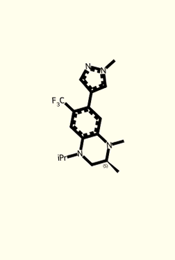 CC(C)N1C[C@H](C)N(C)c2cc(-c3cnn(C)c3)c(C(F)(F)F)cc21